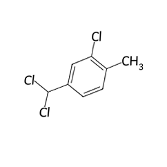 Cc1ccc(C(Cl)Cl)cc1Cl